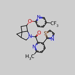 Cc1ccc(-c2nccs2)c(C(=O)N2CC3CC34CC(Oc3ccc(C(F)(F)F)cn3)C24)n1